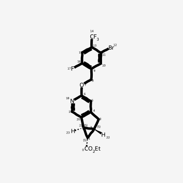 CCOC(=O)[C@H]1[C@H]2Cc3cc(OCc4cc(Br)c(C(F)(F)F)cc4F)ncc3[C@@H]21